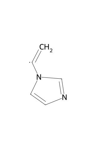 C=[C]n1ccnc1